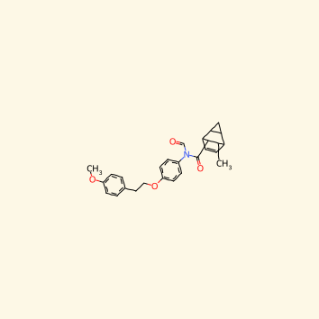 COc1ccc(CCOc2ccc(N(C=O)C(=O)C3C(C)C4C=CC3C3CC43)cc2)cc1